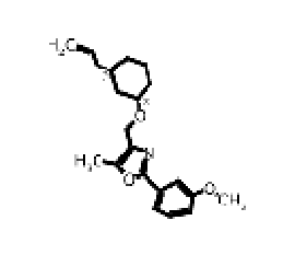 C=CC[C@H]1CCC[C@@H](OCc2nc(-c3cccc(OC)c3)oc2C)C1